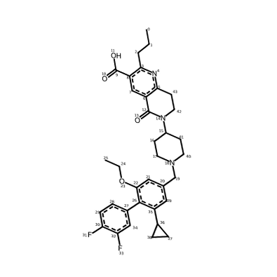 CCCc1nc2c(cc1C(=O)O)C(=O)N(C1CCN(Cc3cc(OCC)c(-c4ccc(F)c(F)c4)c(C4CC4)c3)CC1)CC2